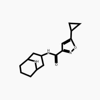 O=C(NC1CC2CCCC(C1)N2)c1cc(C2CC2)on1